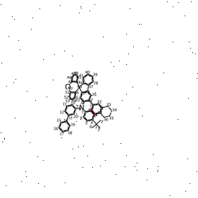 CC(C)(C)c1ccc(N(c2cccc(-c3ccccc3)c2)c2cc3c(cc2-c2ccc4c(c2)CCCC4)-c2ccccc2C32c3ccccc3Oc3ccccc32)cc1